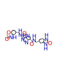 O=C1COc2ccc(CNC(=O)c3ncnc4c(C(=O)NCc5ccc6[nH]c(=O)[nH]c6c5)c[nH]c34)cc2N1